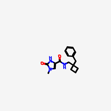 Cn1cc(C(=O)NCC2(Cc3ccccc3)CCC2)[nH]c1=O